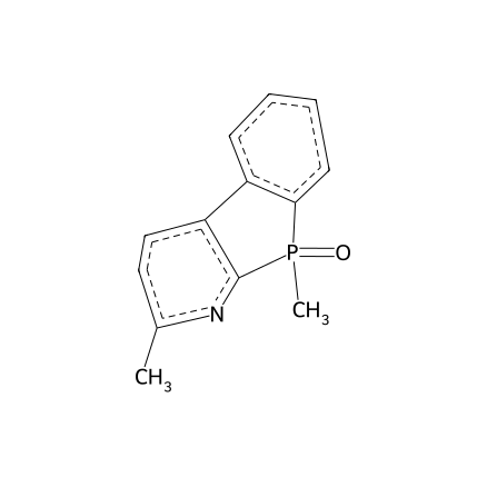 Cc1ccc2c(n1)P(C)(=O)c1ccccc1-2